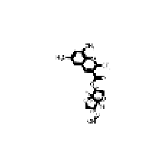 Cc1cc(C)c2c(c1)C=C(C(=O)O[C@H]1CO[C@H]3[C@@H]1OC[C@H]3ON=O)C(C(F)(F)F)O2